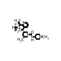 C=C(c1cccnc1/C(=C\C)OC(F)(F)F)[C@H]1C[C@@H](C)CN(C(=O)NC2CCN(C)CC2)C1